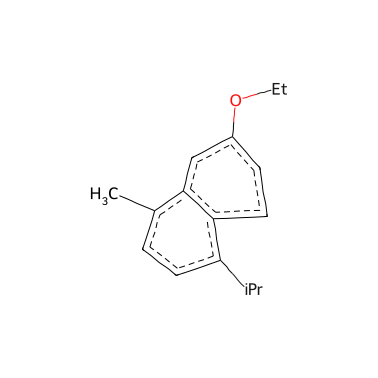 CCOc1ccc2c(C(C)C)ccc(C)c2c1